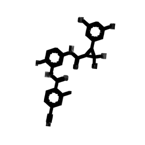 Cc1cc(C#N)ccc1C(=O)Nc1cc(NC(=O)C2C(c3cc(Cl)cc(Cl)c3)C2(Cl)Cl)ccc1F